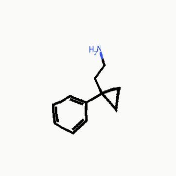 NCCC1(c2ccccc2)CC1